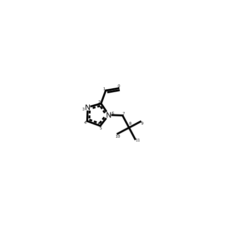 C=Cc1nccn1CC(C)(C)C